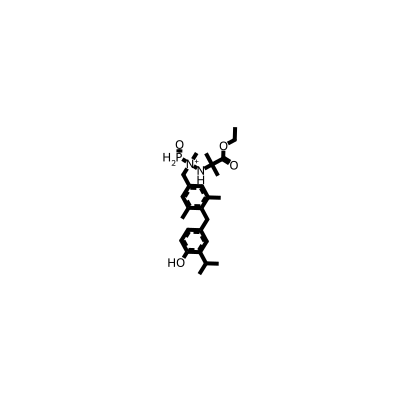 CCOC(=O)C(C)(C)N[N+](C)(Cc1cc(C)c(Cc2ccc(O)c(C(C)C)c2)c(C)c1)[PH2]=O